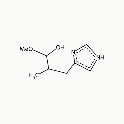 COC(O)C(C)Cc1c[nH]cn1